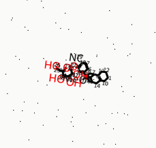 CO/C(=C1\C2CCCC1C1=C(CCCC1)C2)c1ccc(C#N)c(O[C@@H]2OC(CO)[C@H](O)C(O)[C@@H]2O)c1